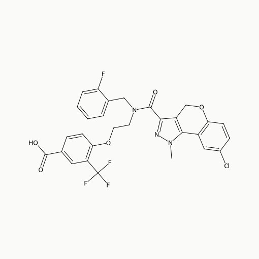 Cn1nc(C(=O)N(CCOc2ccc(C(=O)O)cc2C(F)(F)F)Cc2ccccc2F)c2c1-c1cc(Cl)ccc1OC2